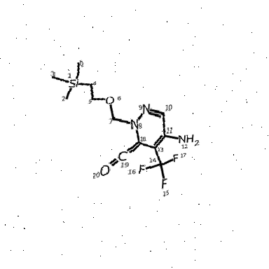 C[Si](C)(C)CCOCN1N=CC(N)=C(C(F)(F)F)C1=C=O